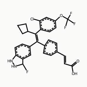 O=C(O)/C=C/c1ccc(/C(=C(\c2ccc(OC(F)(F)F)cc2Cl)C2CCC2)c2ccc3c(c2)C(F)NN3)cc1